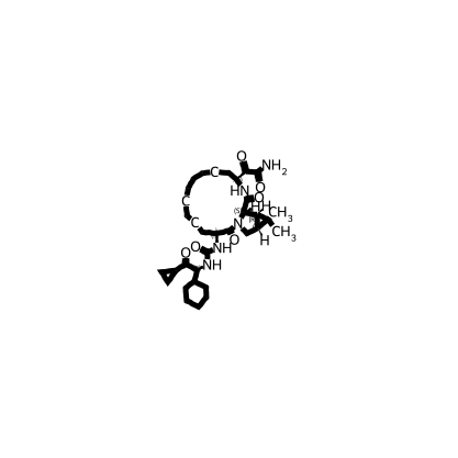 CC1(C)[C@@H]2[C@H]3C(=O)N[C@H](C(=O)C(N)=O)CCCCCCCCC[C@H](NC(=O)N[C@H](C(=O)C4CC4)C4CCCCC4)C(=O)N3C[C@@H]21